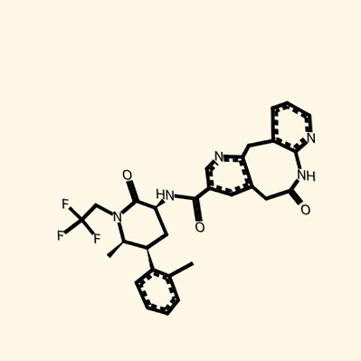 Cc1ccccc1[C@@H]1C[C@H](NC(=O)c2cnc3c(c2)CC(=O)Nc2ncccc2C3)C(=O)N(CC(F)(F)F)[C@@H]1C